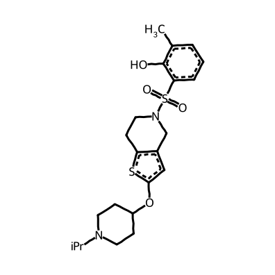 Cc1cccc(S(=O)(=O)N2CCc3sc(OC4CCN(C(C)C)CC4)cc3C2)c1O